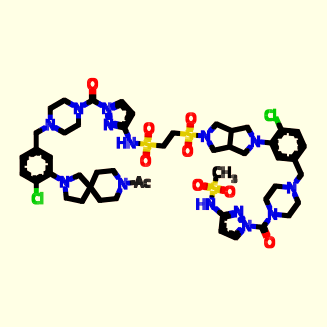 CC(=O)N1CCC2(CC1)CCN(c1cc(CN3CCN(C(=O)n4ccc(NS(=O)(=O)CCS(=O)(=O)N5CC6CN(c7cc(CN8CCN(C(=O)n9ccc(NS(C)(=O)=O)n9)CC8)ccc7Cl)CC6C5)n4)CC3)ccc1Cl)C2